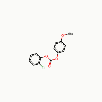 CC(C)(C)Oc1ccc(OC(=O)Oc2ccccc2Cl)cc1